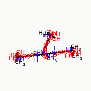 CNC(=O)C(CCCCNC(=O)COCCOCCOCCOC(OC(CO)[C@@H](C)O)[C@H](CO)NC(C)=O)NC(=O)C(CCCCNC(=O)COCCOCCOCCOC1OC(CO)C(O)C(O)C1NC(C)=O)NC(=O)COCCOCCOCCOC1OC(CO)C(O)C(O)C1NC(C)=O